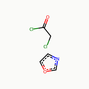 O=C(Cl)CCl.c1cocn1